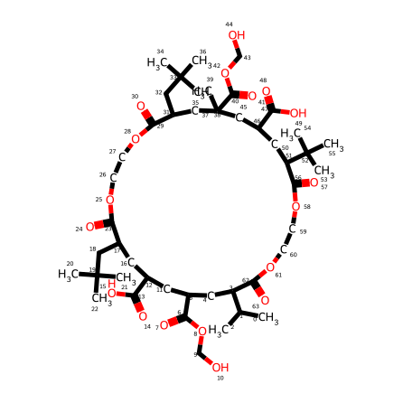 CC(C)C1CC(C(=O)OCO)CC(C(=O)O)CC(CC(C)(C)C)C(=O)OCCOC(=O)C(CC(C)(C)C)CC(C)(C(=O)OCO)CC(C(=O)O)CC(C(C)(C)C)C(=O)OCCOC1=O